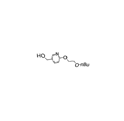 CCCCOCCOc1ccc(CO)cn1